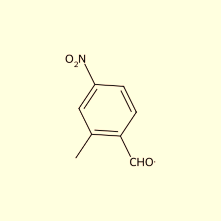 Cc1cc([N+](=O)[O-])ccc1[C]=O